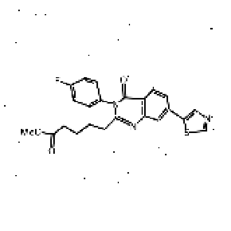 COC(=O)CCCCc1nc2cc(-c3cncs3)ccc2c(=O)n1-c1ccc(F)cc1